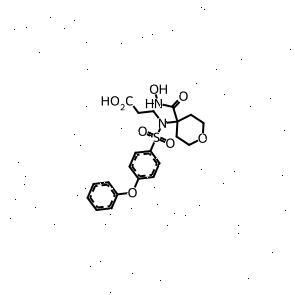 O=C(O)CCN(C1(C(=O)NO)CCOCC1)S(=O)(=O)c1ccc(Oc2ccccc2)cc1